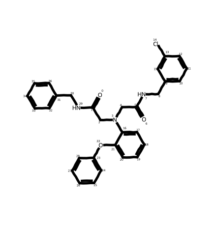 O=C(CN(CC(=O)NCc1cccc(Cl)c1)c1ccccc1Oc1ccccc1)NCc1ccccc1